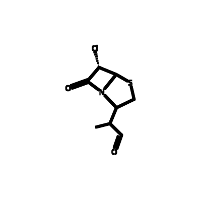 CC(C=O)C1CSC2[C@@H](Cl)C(=O)N12